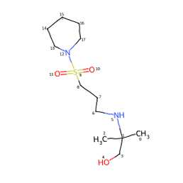 CC(C)(CO)NCCCS(=O)(=O)N1CC[CH]CC1